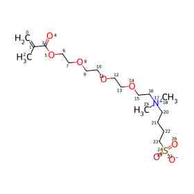 C=C(C)C(=O)OCCOCCOCCOCC[N+](C)(C)CCCCS(=O)(=O)[O-]